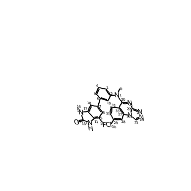 CN(c1cccc(-c2cc(F)c3[nH]c(=O)n(C)c3c2)c1)c1nc2nncn2c2cc(Cl)ccc12